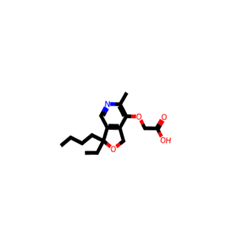 CCCCC1(CC)OCc2c1cnc(C)c2OCC(=O)O